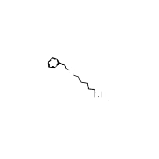 NCCCCCCOCCc1ccccc1